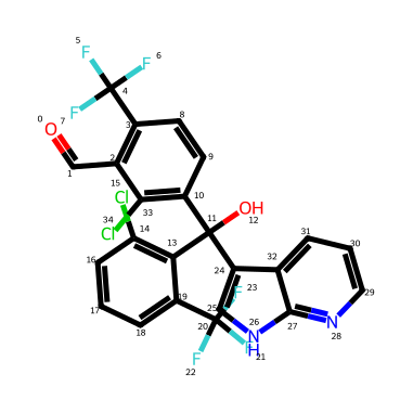 O=Cc1c(C(F)(F)F)ccc(C(O)(c2c(Cl)cccc2C(F)(F)F)c2c[nH]c3ncccc23)c1Cl